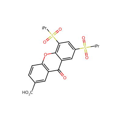 CC(C)S(=O)(=O)c1cc(S(=O)(=O)C(C)C)c2oc3ccc(C(=O)O)cc3c(=O)c2c1